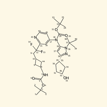 CC(C)(C)OC(=O)NC1CC(CC(F)(F)c2cc(N(C(=O)OC(C)(C)C)c3cc([C@H]4CC[C@@H](O)C4)nn3C(C)(C)C)ccn2)C1